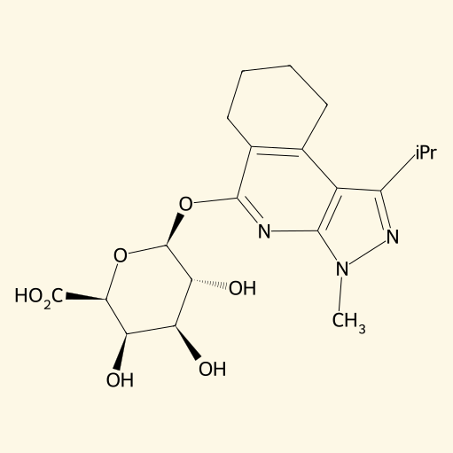 CC(C)c1nn(C)c2nc(O[C@@H]3O[C@H](C(=O)O)[C@H](O)[C@H](O)[C@H]3O)c3c(c12)CCCC3